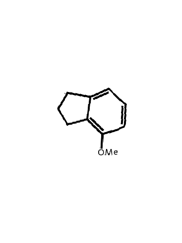 COc1cccc2c1CC[CH]2